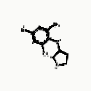 Cc1cc(Br)cc(C)c1OC1CCOC1